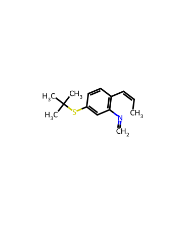 C=Nc1cc(SC(C)(C)C)ccc1/C=C\C